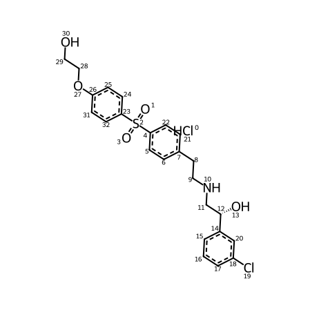 Cl.O=S(=O)(c1ccc(CCNC[C@H](O)c2cccc(Cl)c2)cc1)c1ccc(OCCO)cc1